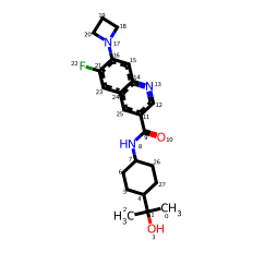 CC(C)(O)C1CCC(NC(=O)c2cnc3cc(N4CCC4)c(F)cc3c2)CC1